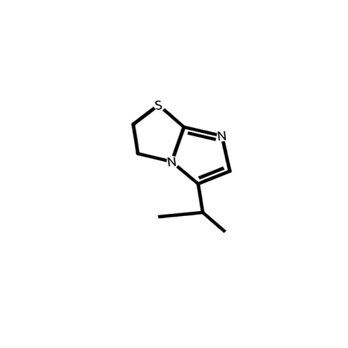 CC(C)c1cnc2n1CCS2